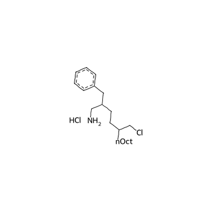 CCCCCCCCC(CCl)CCC(CN)Cc1ccccc1.Cl